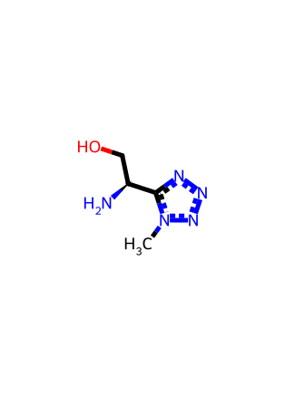 Cn1nnnc1[C@@H](N)CO